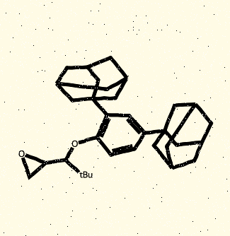 CC(C)(C)C(Oc1ccc(C23CC4CC(CC(C4)C2)C3)cc1C12CC3CC(CC(C3)C1)C2)C1CO1